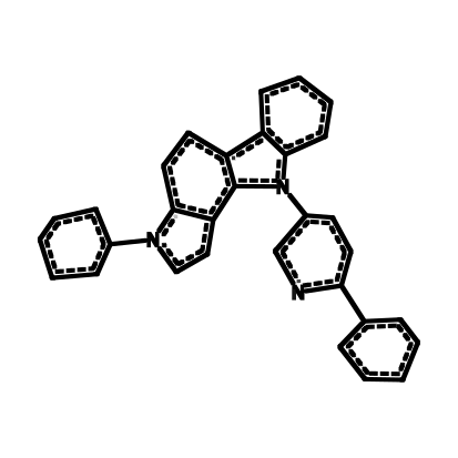 c1ccc(-c2ccc(-n3c4ccccc4c4ccc5c(ccn5-c5ccccc5)c43)cn2)cc1